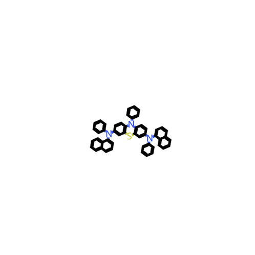 c1ccc(N2c3ccc(N(c4ccccc4)c4cccc5ccccc45)cc3Sc3cc(N(c4ccccc4)c4cccc5ccccc45)ccc32)cc1